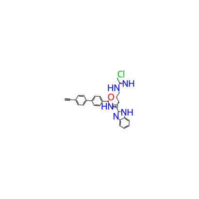 C#Cc1ccc(-c2ccc(C(=O)N[C@@H](CCCNC(=N)CCl)c3nc4ccccc4[nH]3)cc2)cc1